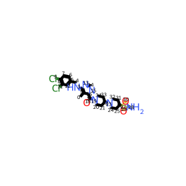 Cc1c(NCc2ccc(Cl)c(Cl)c2)ncnc1C(=O)N1CCC(N2CCC(S(N)(=O)=O)CC2)CC1